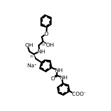 O=C(Nc1ccc(C[C@@H](CO)NC[C@H](O)COc2ccccc2)cc1)Nc1cccc(C(=O)[O-])c1.[Na+]